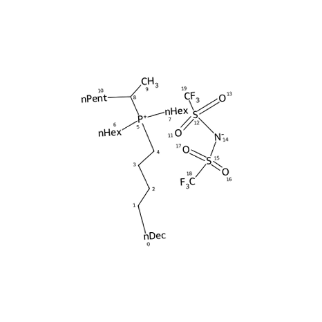 CCCCCCCCCCCCCC[P+](CCCCCC)(CCCCCC)C(C)CCCCC.O=S(=O)([N-]S(=O)(=O)C(F)(F)F)C(F)(F)F